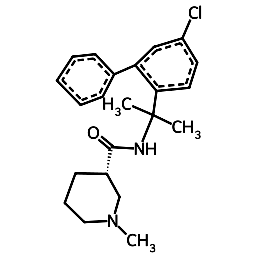 CN1CCC[C@H](C(=O)NC(C)(C)c2ccc(Cl)cc2-c2ccccc2)C1